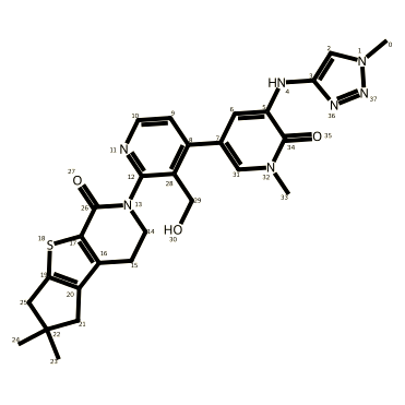 Cn1cc(Nc2cc(-c3ccnc(N4CCc5c(sc6c5CC(C)(C)C6)C4=O)c3CO)cn(C)c2=O)nn1